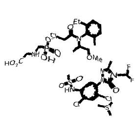 CCc1cccc(C)c1N(C(=O)CCl)C(C)COC.C[S+](C)C.Cc1nn(-c2cc(NS(C)(=O)=O)c(Cl)cc2Cl)c(=O)n1C(F)F.O=C(O)CNCP(=O)([O-])O